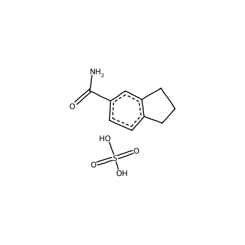 NC(=O)c1ccc2c(c1)CCC2.O=S(=O)(O)O